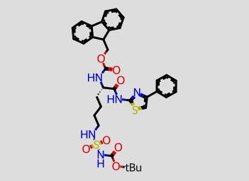 CC(C)(C)OC(=O)NS(=O)(=O)NCCCC[C@H](NC(=O)OCC1c2ccccc2-c2ccccc21)C(=O)Nc1nc(-c2ccccc2)cs1